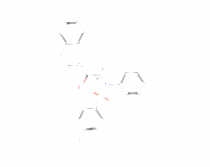 C[C@H](C(=O)N[C@H](CO)Cc1ccccc1)N(c1cc(Cl)ccc1F)S(=O)(=O)c1ccc(Cl)cc1